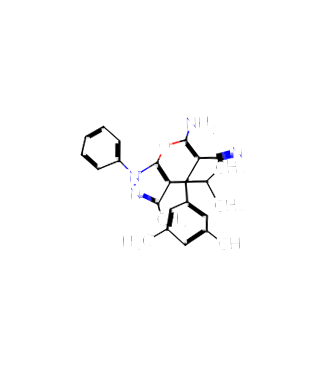 Cc1cc(C)cc(C2(C(C)C)C(C#N)=C(N)Oc3c2c(C)nn3-c2ccccc2)c1